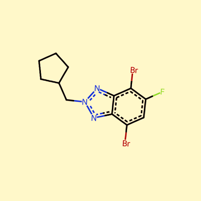 Fc1cc(Br)c2nn(CC3CCCC3)nc2c1Br